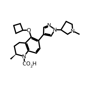 C[C@H]1CCc2c(ccc(-c3cnn(C4CCN(C)C4)c3)c2OC2CCC2)N1C(=O)O